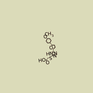 COc1ccc(-c2ccc(-c3nnc(SCC(=O)O)[nH]3)o2)cc1